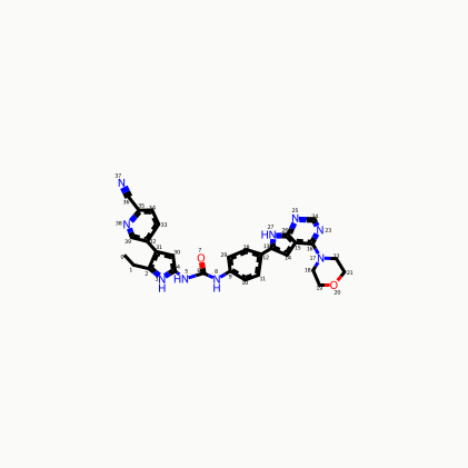 CCc1[nH]c(NC(=O)Nc2ccc(-c3cc4c(N5CCOCC5)ncnc4[nH]3)cc2)cc1-c1ccc(C#N)nc1